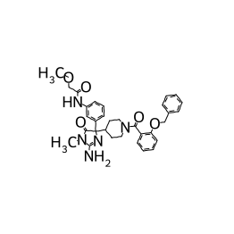 COCC(=O)Nc1cccc(C2(C3CCN(C(=O)c4ccccc4OCc4ccccc4)CC3)N=C(N)N(C)C2=O)c1